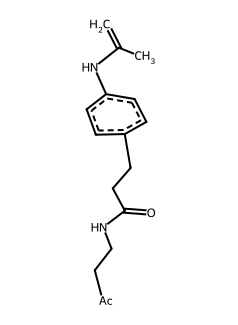 C=C(C)Nc1ccc(CCC(=O)NCCC(C)=O)cc1